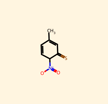 CC1=CC(=S)C([N+](=O)[O-])C=C1